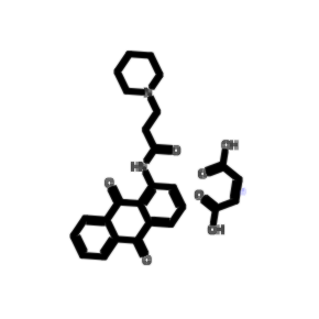 O=C(CCN1CCCCC1)Nc1cccc2c1C(=O)c1ccccc1C2=O.O=C(O)/C=C\C(=O)O